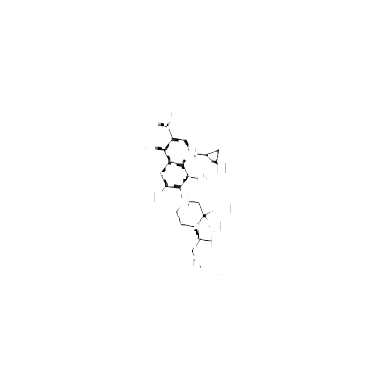 COc1c(N2CC/C(=C(/F)CN)C(C)(C)C2)c(F)cc2c(=O)c(C(=O)O)cn(C3CC3)c12